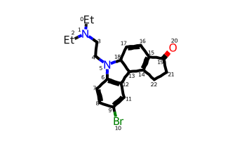 CCN(CC)CCN1c2ccc(Br)cc2C2C3=C(C=CC21)C(=O)CC3